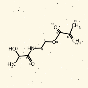 [CH2]C(O)C(=O)NCCOC(=O)C(=C)C